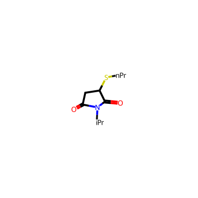 CCCSC1CC(=O)N(C(C)C)C1=O